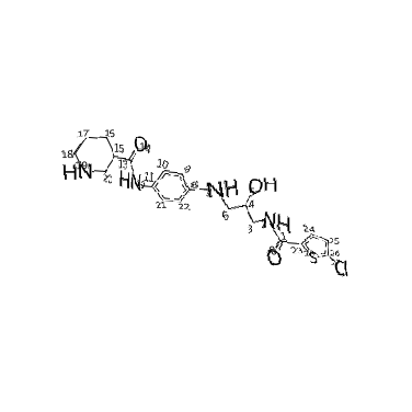 O=C(NCC(O)CNc1ccc(NC(=O)C2CCCNC2)cc1)c1ccc(Cl)s1